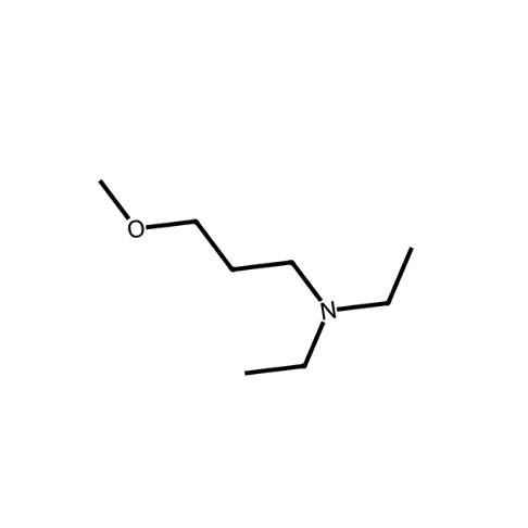 CCN(CC)CCCOC